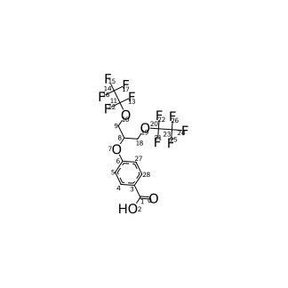 O=C(O)c1ccc(OC(COC(F)(F)C(F)(F)F)COC(F)(F)C(F)(F)F)cc1